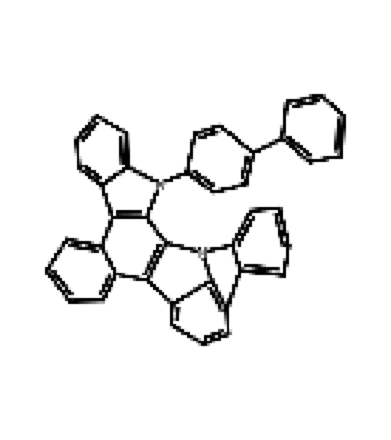 c1ccc(-c2ccc(-n3c4ccccc4c4c5ccccc5c5c6cccc7c8ccccc8n(c76)c5c43)cc2)cc1